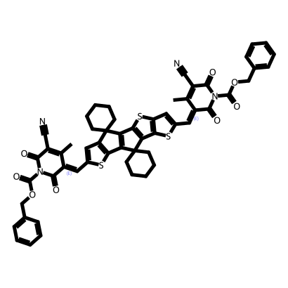 CC1=C(C#N)C(=O)N(C(=O)OCc2ccccc2)C(=O)/C1=C/c1cc2c(s1)C1=C(c3sc4cc(/C=C5/C(=O)N(C(=O)OCc6ccccc6)C(=O)C(C#N)=C5C)sc4c3C13CCCCC3)C21CCCCC1